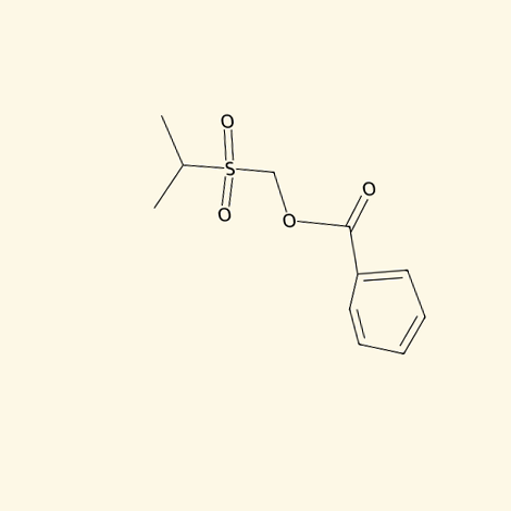 CC(C)S(=O)(=O)COC(=O)c1ccccc1